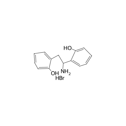 Br.NC(Cc1ccccc1O)c1ccccc1O